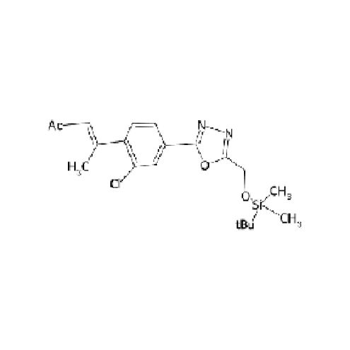 CC(=O)/C=C(\C)c1ccc(-c2nnc(CO[Si](C)(C)C(C)(C)C)o2)cc1Cl